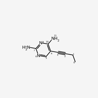 CCC#Cc1cnc(N)nc1N